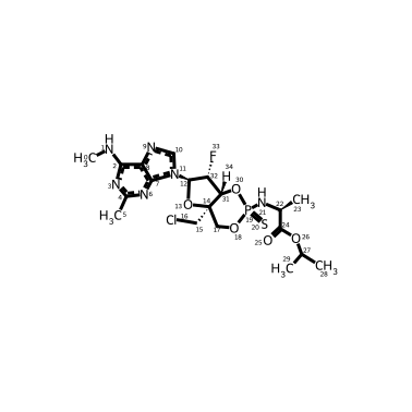 CNc1nc(C)nc2c1ncn2[C@@H]1O[C@]2(CCl)COP(=S)(N[C@@H](C)C(=O)OC(C)C)O[C@H]2[C@H]1F